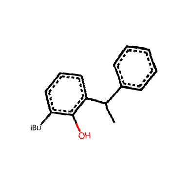 CCC(C)c1cccc(C(C)c2ccccc2)c1O